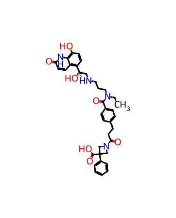 CCN(CCCNC[C@H](O)c1ccc(O)c2[nH]c(=O)ccc12)C(=O)c1ccc(CCC(=O)N2CC(C(=O)O)(c3ccccc3)C2)cc1